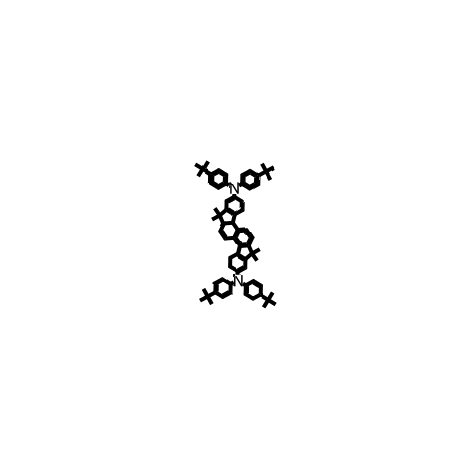 CC(C)(C)C1=CCC(N(C2=CCC(C(C)(C)C)C=C2)C2=CC3=C(CC2)c2c(ccc4c2C=CC2C4C4=C(C=C(N(c5ccc(C(C)(C)C)cc5)c5ccc(C(C)(C)C)cc5)CC4)C2(C)C)C3(C)C)C=C1